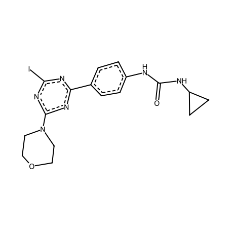 O=C(Nc1ccc(-c2nc(I)nc(N3CCOCC3)n2)cc1)NC1CC1